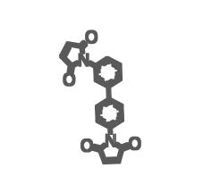 O=C1C=CC(=O)N1c1ccc(-c2cccc(N3C(=O)C=CC3=O)c2)cc1